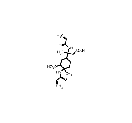 C=CC(=O)NC(C)(CS(=O)(=O)O)C1CCC(C)(NC(=O)C=C)C(S(=O)(=O)O)C1